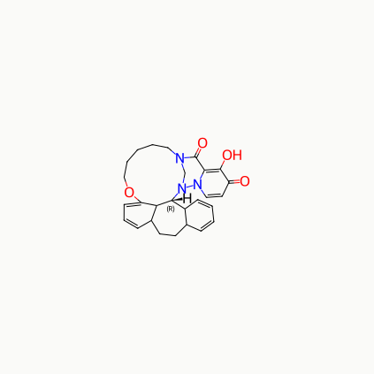 O=C1c2c(O)c(=O)ccn2N2CN1CCCCCOC1=CC=CC3CCC4C=CC=CC4[C@@H]2C13